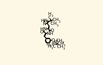 CC(C)(C)c1[nH]cnc1/C=c1\[nH]c(=O)/c(=C/c2cccc(O[Si](C)(C)C(C)(C)C)c2)[nH]c1=O